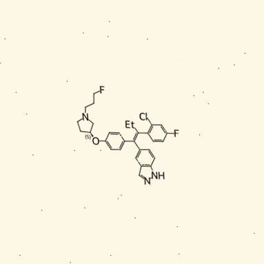 CCC(=C(c1ccc(O[C@H]2CCN(CCCF)C2)cc1)c1ccc2[nH]ncc2c1)c1ccc(F)cc1Cl